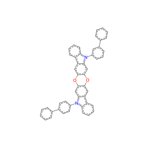 c1ccc(-c2ccc(-n3c4ccccc4c4cc5c(cc43)Oc3cc4c6ccccc6n(-c6cccc(-c7ccccc7)c6)c4cc3O5)cc2)cc1